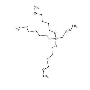 CC=CC[Si](OCCCCOC)(OCCCCOC)OCCCCOC